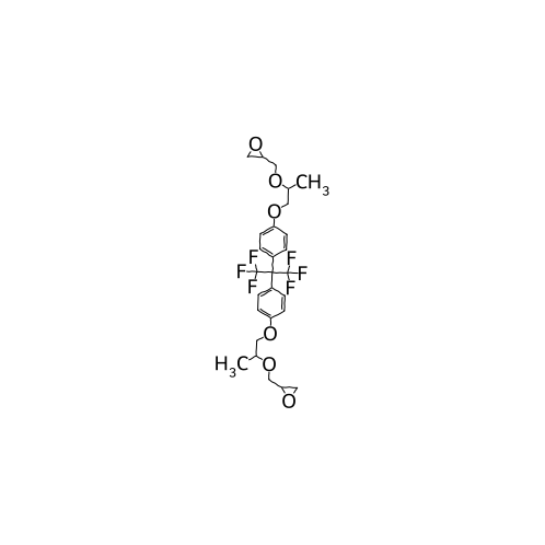 CC(COc1ccc(C(c2ccc(OCC(C)OCC3CO3)cc2)(C(F)(F)F)C(F)(F)F)cc1)OCC1CO1